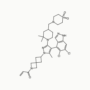 C=CC(=O)N1CC2(CC(n3nc(N4CCC(CN5CCS(=O)(=O)CC5)CC4(C)C)c(-c4c(Cl)c(Cl)cc5[nH]ncc45)c3C)C2)C1